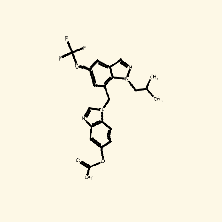 CC(C)Cn1ncc2cc(OC(F)(F)F)cc(Cn3cnc4cc(OC(=O)O)ccc43)c21